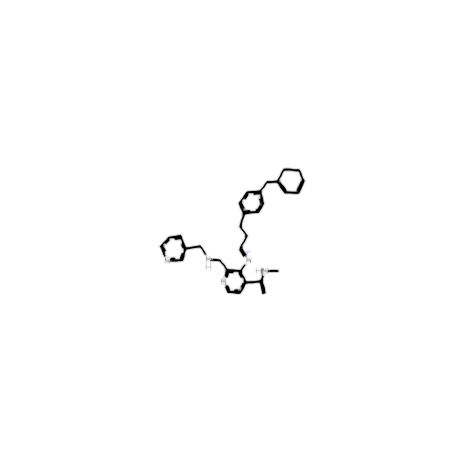 C=C(NC)c1ccnc(CNCc2cccnc2)c1/N=C/CCc1ccc(CC2=CC=CCC2)cc1